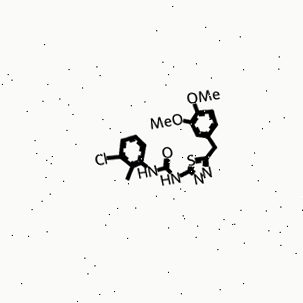 COc1ccc(Cc2nnc(NC(=O)Nc3cccc(Cl)c3C)s2)cc1OC